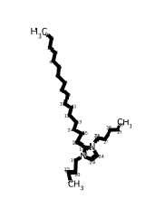 CCCCCCCCCCCCCCCCCC1N(CCCC)C=CN1CCCCC